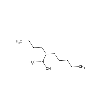 CCCCCC(CCCC)N(C)O